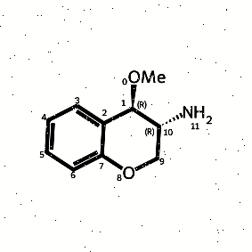 CO[C@@H]1c2ccccc2OC[C@H]1N